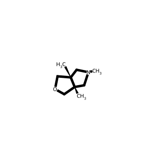 CN1C[C@]2(C)COC[C@]2(C)C1